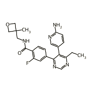 CCc1ncnc(-c2ccc(C(=O)NCC3(C)COC3)c(F)c2)c1-c1ccc(N)nc1